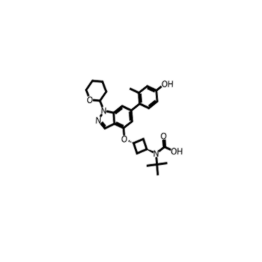 Cc1cc(O)ccc1-c1cc(O[C@H]2C[C@H](N(C(=O)O)C(C)(C)C)C2)c2cnn(C3CCCCO3)c2c1